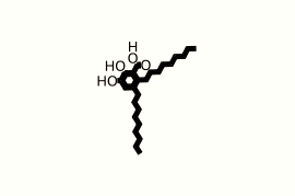 CCCCCCCCCc1cc(O)c(O)c(C(=O)O)c1CCCCCCCCC